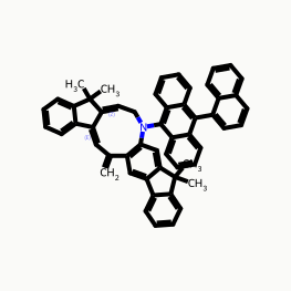 C=C1/C=C2\C(=C/CN(c3c4ccccc4c(-c4cccc5ccccc45)c4ccccc34)c3cc4c(cc31)-c1ccccc1C4(C)C)C(C)(C)c1ccccc12